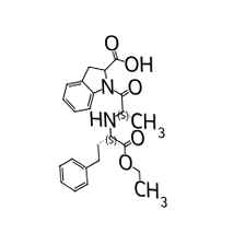 CCOC(=O)[C@H](CCc1ccccc1)N[C@@H](C)C(=O)N1c2ccccc2CC1C(=O)O